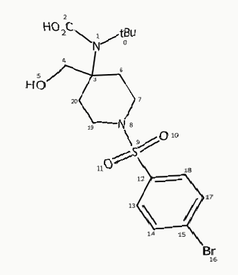 CC(C)(C)N(C(=O)O)C1(CO)CCN(S(=O)(=O)c2ccc(Br)cc2)CC1